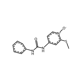 CSc1cc(NC(=O)Nc2ccccc2)cc[n+]1[O-]